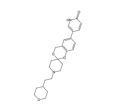 O=c1ccc(-c2ccc3c(c2)COC2(CCN(CCC4CCOCC4)CC2)O3)c[nH]1